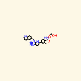 Cc1cc(-c2ccc3c(n2)N(Cc2ccc4ncccc4c2)NN3)ccc1C(=O)NOC[C@H](C)O